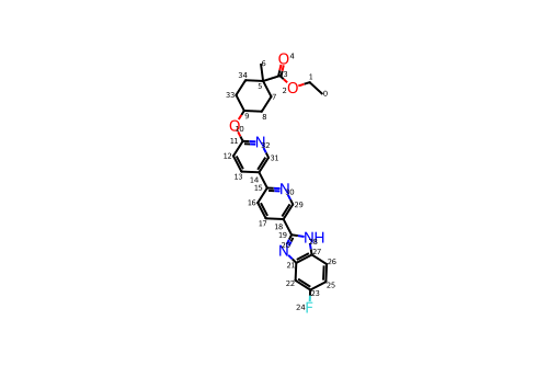 CCOC(=O)C1(C)CCC(Oc2ccc(-c3ccc(-c4nc5cc(F)ccc5[nH]4)cn3)cn2)CC1